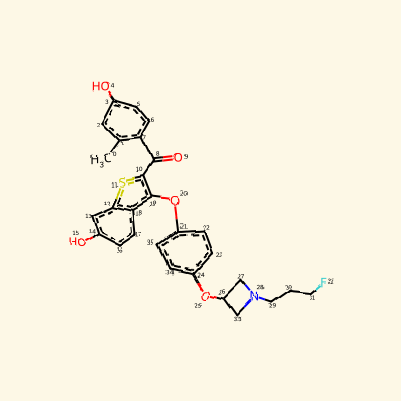 Cc1cc(O)ccc1C(=O)c1sc2cc(O)ccc2c1Oc1ccc(OC2CN(CCCF)C2)cc1